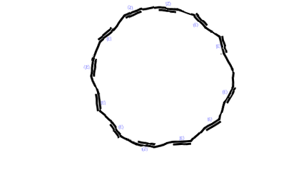 [C]1=C/C=C/C=C\C=C/C=C/C=C\C=C\C=C\C=C/C=C/C=C/C=C/C/1